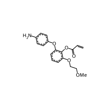 C=CC(=O)Oc1c(OCCOC)cccc1Oc1ccc(N)cc1